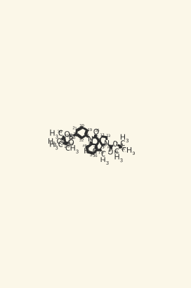 CC(C)[C@@H]1N(C(=O)OC(C)(C)C)CC[C@@]12C(=O)N(c1cccc(B3OC(C)(C)C(C)(C)O3)c1)c1ccccc12